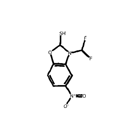 O=[N+]([O-])c1ccc2c(c1)N(C(F)F)C(S)O2